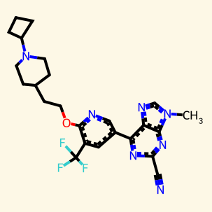 Cn1cnc2c(-c3cnc(OCCC4CCN(C5CCC5)CC4)c(C(F)(F)F)c3)nc(C#N)nc21